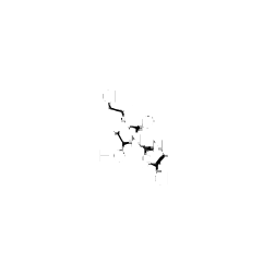 CCCN1CC(O)N(c2ncc(Cl)s2)C1=O